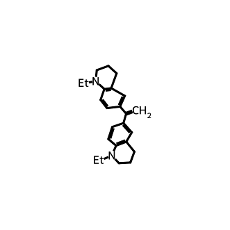 C=C(c1ccc2c(c1)CCCN2CC)c1ccc2c(c1)CCCN2CC